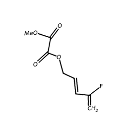 C=C(F)/C=C/COC(=O)C(=O)OC